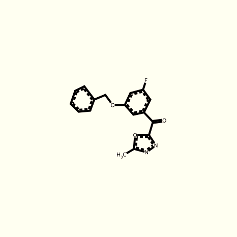 Cc1nnc(C(=O)c2cc(F)cc(OCc3ccccc3)c2)o1